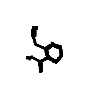 C#CCc1ncccc1C(N)=O